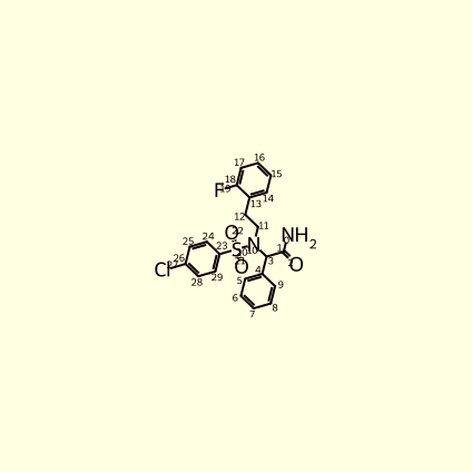 NC(=O)C(c1ccccc1)N(CCc1ccccc1F)S(=O)(=O)c1ccc(Cl)cc1